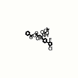 CC(C)(C)OC(=O)C(=O)NN(Cc1ccc(-c2cc(Cl)ccc2F)cc1)C[C@@H](O)C(=O)OCC(=O)c1ccccc1